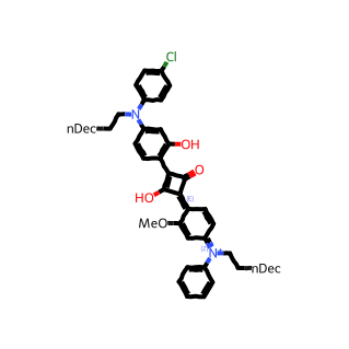 CCCCCCCCCCCCN(c1ccc(Cl)cc1)c1ccc(C2=C(O)/C(=C3C=C/C(=[N+](\CCCCCCCCCCCC)c4ccccc4)C=C/3OC)C2=O)c(O)c1